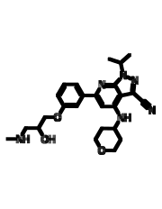 CNCC(O)COc1cccc(-c2cc(NC3CCOCC3)c3c(C#N)nn(C(C)C)c3n2)c1